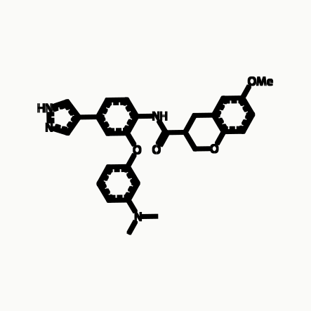 COc1ccc2c(c1)CC(C(=O)Nc1ccc(-c3cn[nH]c3)cc1Oc1cccc(N(C)C)c1)CO2